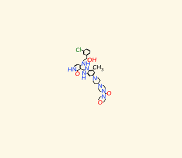 Cc1cc(N2CCC(N3CCN(C(=O)N4CCOCC4)CC3)CC2)cc2[nH]c(-c3c(NCC(O)c4cccc(Cl)c4)cc[nH]c3=O)nc12